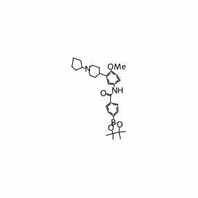 COc1ccc(NC(=O)c2ccc(B3OC(C)(C)C(C)(C)O3)cc2)cc1C1CCN(C2CCCC2)CC1